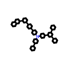 c1ccc(-c2ccc(N(c3ccc(-c4ccc(-c5cccc(-c6ccc7ccccc7c6)c5)cc4)cc3)c3ccc(-c4cc(-c5ccccc5)cc(-c5ccccc5)c4)cc3)cc2)cc1